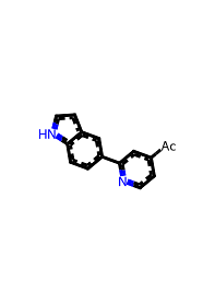 CC(=O)c1ccnc(-c2ccc3[nH]ccc3c2)c1